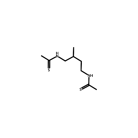 CC(=S)NCCC(C)CNC(C)=S